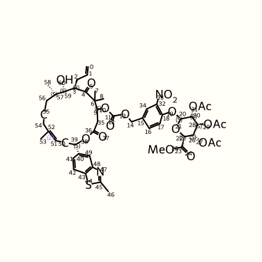 C=CC[C@H]1C(=O)C(C)(C)[C@@H](OC(=O)OCc2ccc(O[C@@H]3O[C@H](C(=O)OC)[C@@H](OC(C)=O)[C@H](OC(C)=O)[C@H]3OC(C)=O)c([N+](=O)[O-])c2)CC(=O)O[C@H](c2ccc3sc(C)nc3c2)C/C=C(/C)CCC[C@H](C)[C@@H]1O